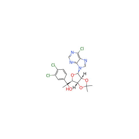 CC1(C)O[C@@H]2[C@H](O1)[C@@H](C(C)(O)c1ccc(Cl)c(Cl)c1)O[C@H]2n1cnc2c(Cl)ncnc21